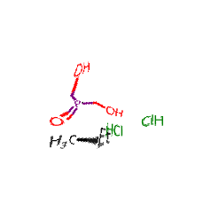 CCC.Cl.Cl.O=[P](O)O